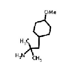 COC1CCC(CC(C)(C)N)CC1